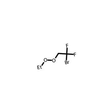 CCOOCC(F)(F)Br